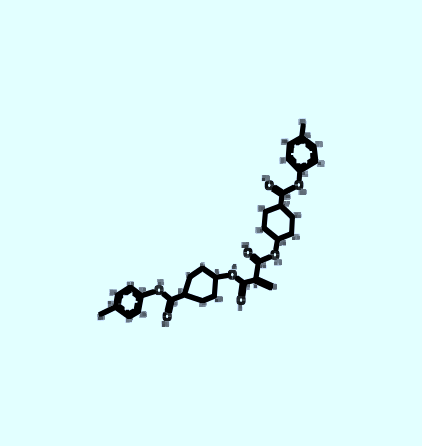 C=C(C(=O)OC1CCC(C(=O)Oc2ccc(C)cc2)CC1)C(=O)OC1CCC(C(=O)Oc2ccc(C)cc2)CC1